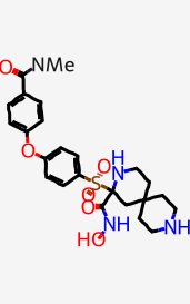 CNC(=O)c1ccc(Oc2ccc(S(=O)(=O)C3(C(=O)NO)CC4(CCNCC4)CCN3)cc2)cc1